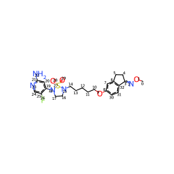 CO/N=C1\CCc2cc(OCCCCCN3CCN(c4cc(N)ncc4F)S3(=O)=O)ccc21